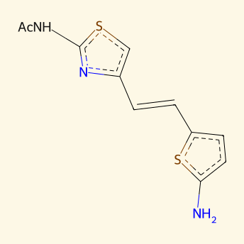 CC(=O)Nc1nc(/C=C/c2ccc(N)s2)cs1